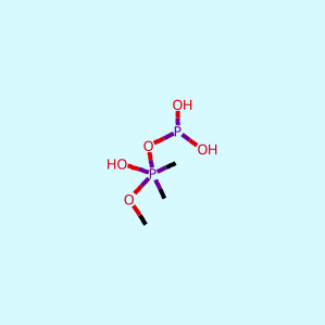 COP(C)(C)(O)OP(O)O